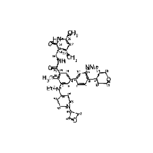 CCN(c1cc(-c2ccc(C3CCOCC3)c(NC)c2)cc(C(=O)NCc2c(C)cc(C)[nH]c2=O)c1C)C1CCN(C2COC2)CC1